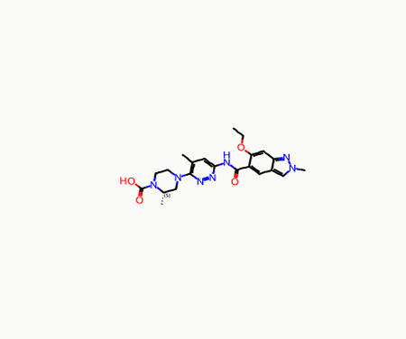 CCOc1cc2nn(C)cc2cc1C(=O)Nc1cc(C)c(N2CCN(C(=O)O)[C@@H](C)C2)nn1